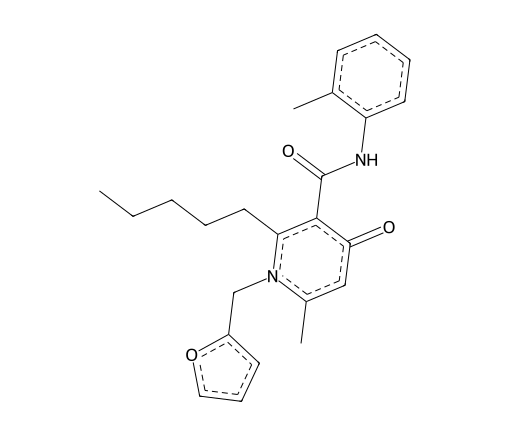 CCCCCc1c(C(=O)Nc2ccccc2C)c(=O)cc(C)n1Cc1ccco1